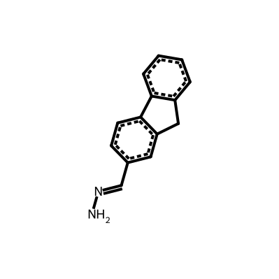 N/N=C/c1ccc2c(c1)Cc1ccccc1-2